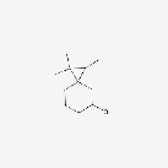 CC1C(C)(C)C12CCCC(O)C2